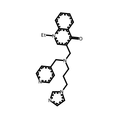 CCn1cc(CN(CCCn2ccnc2)Cc2ccncc2)c(=O)c2ccccc21